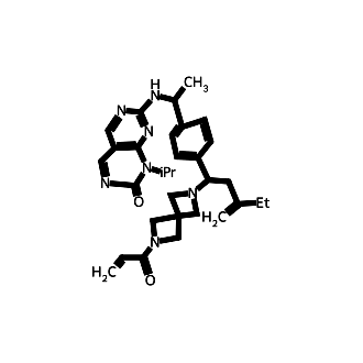 C=CC(=O)N1CC2(C1)CN(C(CC(=C)CC)c1ccc(C(C)Nc3ncc4cnc(=O)n(C(C)C)c4n3)cc1)C2